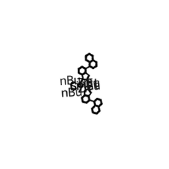 CCC[CH2][Zr]([CH2]CCC)([CH]1C(CC)=Cc2c(-c3cccc4ccccc34)cccc21)[Si]1([Zr]([CH2]CCC)([CH2]CCC)[CH]2C(CC)=Cc3c(-c4cccc5ccccc45)cccc32)CCCC1